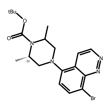 CC1CN(c2ccc(Br)c3nnccc23)C[C@H](C)N1C(=O)OC(C)(C)C